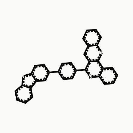 c1ccc2nc3c(cc2c1)c(-c1ccc(-c2ccc4sc5ccccc5c4c2)cc1)nc1ccccc13